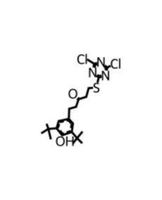 CC(C)(C)c1cc(CCC(=O)CCSc2nc(Cl)nc(Cl)n2)cc(C(C)(C)C)c1O